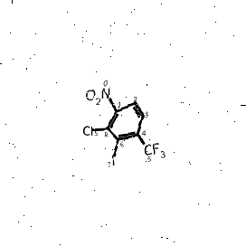 O=[N+]([O-])c1ccc(C(F)(F)F)c(I)c1Cl